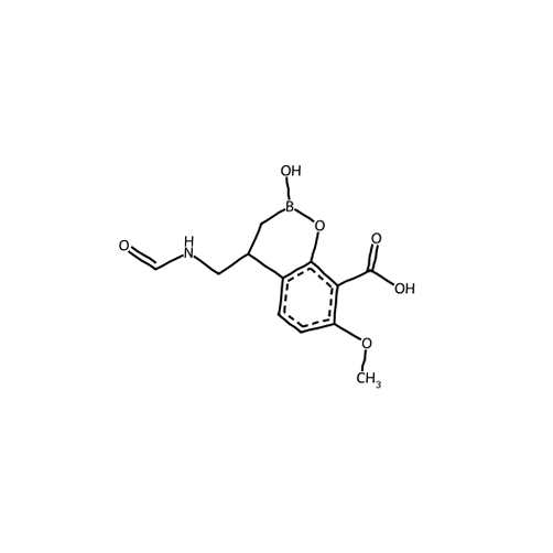 COc1ccc2c(c1C(=O)O)OB(O)CC2CNC=O